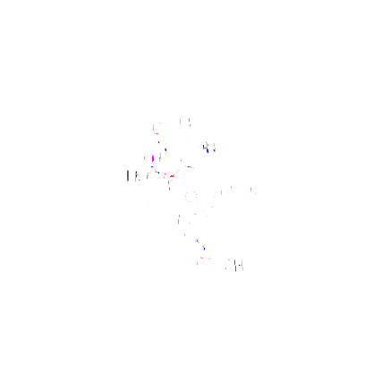 COc1c(C(=O)OC2=C(CCC3=C(OC(=O)c4ccc(C)c([N+](=O)[O-])c4OC)C=CC=CN3)NC=CC=C2)ccc(C)c1[N+](=O)[O-]